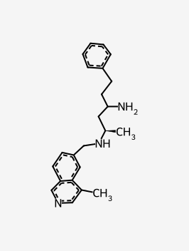 Cc1cncc2ccc(CN[C@H](C)CC(N)CCc3ccccc3)cc12